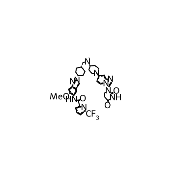 COc1cc2nn([C@H]3CC[C@H](CN(C)C4CCN(c5ccn6c(N7CCC(=O)NC7=O)cnc6c5)CC4)CC3)cc2cc1NC(=O)c1cccc(C(F)(F)F)n1